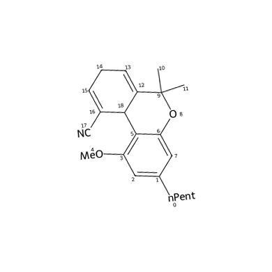 CCCCCc1cc(OC)c2c(c1)OC(C)(C)C1=CCC=C(C#N)C12